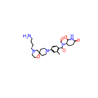 Cc1cc(N2CCC3(CC2)CN(CCCCN)CCO3)ccc1C(=O)N(C=O)C1CCC(=O)NC1=O